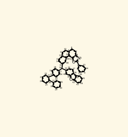 c1ccc(-c2nc3ccc4ccc5ccc(C(c6ccc(-c7ccccc7-c7ccccc7)cc6)c6ccc7c(c6)oc6ccccc67)cc5c4c3o2)cc1